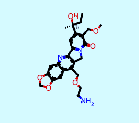 CC[C@](C)(O)c1cc2n(c(=O)c1COC)Cc1c-2nc2cc3c(cc2c1COCCN)OCO3